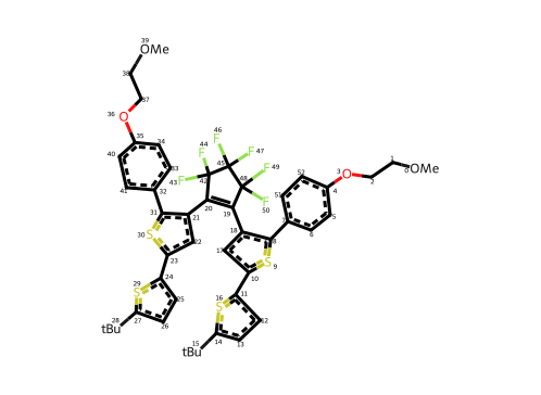 COCCOc1ccc(-c2sc(-c3ccc(C(C)(C)C)s3)cc2C2=C(c3cc(-c4ccc(C(C)(C)C)s4)sc3-c3ccc(OCCOC)cc3)C(F)(F)C(F)(F)C2(F)F)cc1